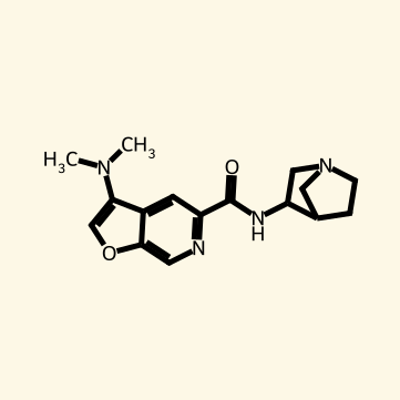 CN(C)c1coc2cnc(C(=O)NC3CN4CCC3C4)cc12